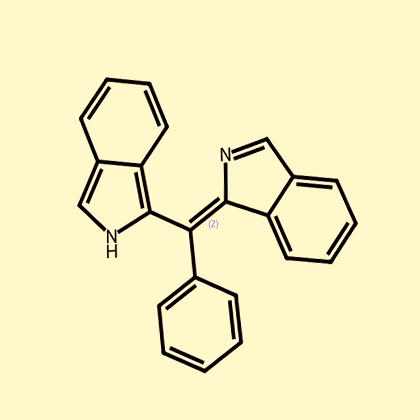 C1=N/C(=C(/c2ccccc2)c2[nH]cc3ccccc23)c2ccccc21